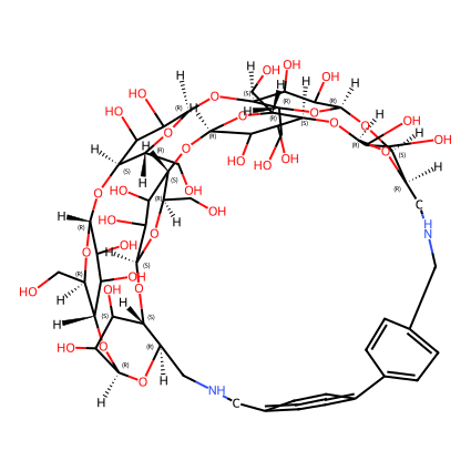 OC[C@H]1O[C@@H]2O[C@H]3C(O)C(O)[C@@H]4O[C@@H]3CNCc3ccc(cc3)-c3ccc(cc3)CNC[C@H]3O[C@H](O[C@H]5C(O)C(O)[C@H](O[C@@H]5CO)O[C@H]5C(O)C(O)[C@H](O[C@@H]5CO)O[C@H]1C(O)C2O)C(O)C(O)[C@@H]3O[C@@H]1O[C@H](CO)[C@@H](O[C@H]2O[C@H](CO)[C@@H](O4)C(O)C2O)C(O)C1O